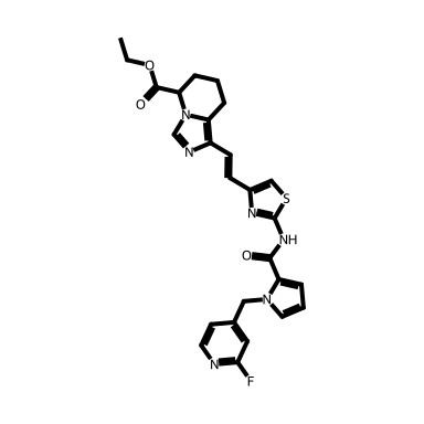 CCOC(=O)C1CCCc2c(/C=C/c3csc(NC(=O)c4cccn4Cc4ccnc(F)c4)n3)ncn21